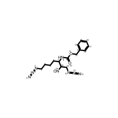 [N-]=[N+]=NCCCCC(NC(=O)OCc1ccccc1)C(CN=[N+]=[N-])N=O